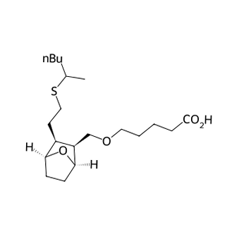 CCCCC(C)SCC[C@H]1[C@@H](COCCCCC(=O)O)[C@H]2CC[C@@H]1O2